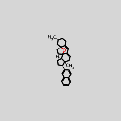 C[C@@H]1CCC2=CC3=CC[C@]4(C)[C@@H](c5ccc6ccccc6c5)CC[C@H]4C34CC[C@]2(C1)O4